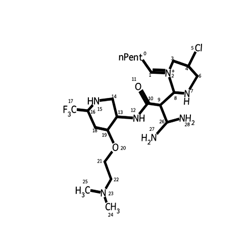 CCCCC/C=[N+]1\CC(Cl)CNC1C(C(=O)NC1CNC(C(F)(F)F)CC1OCCN(C)C)C(N)N